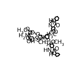 COCCOCCOCCN(CC(C)(C)SSCCC(C(N)=O)S(=O)(=O)O)c1cc(COc2cc3c(cc2OC)C(=O)N2c4ccccc4C[C@H]2C=N3)cc(COc2cc3c(cc2OC)C(=O)N2c4ccccc4C[C@H]2CN3)c1